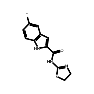 O=C(NC1=NCCS1)c1cc2cc(F)ccc2[nH]1